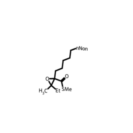 CCCCCCCCCCCCCCC1(C(=O)SC)OC1(C)CC